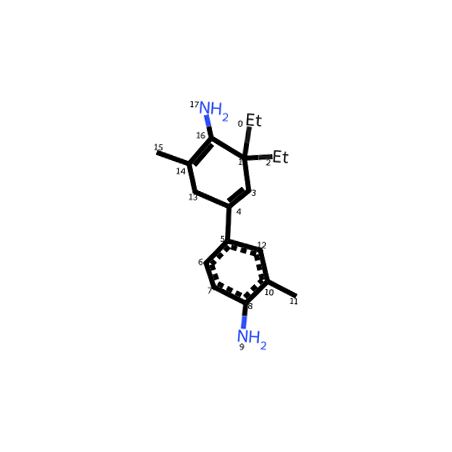 CCC1(CC)C=C(c2ccc(N)c(C)c2)CC(C)=C1N